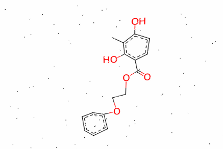 Cc1c(O)ccc(C(=O)OCCOc2ccccc2)c1O